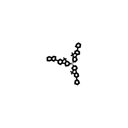 CC1(C)c2cc(-c3ccccc3)ccc2-c2ccc(N(c3ccc4c(c3)C(C)(C)c3cc(-c5ccccc5)ccc3-4)c3ccc4c(c3)C(C)(C)c3cc(-c5ccc6ccccc6c5)ccc3-4)cc21